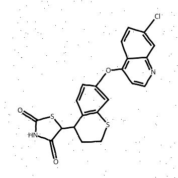 O=C1NC(=O)C(C2CCSc3cc(Oc4ccnc5cc(Cl)ccc45)ccc32)S1